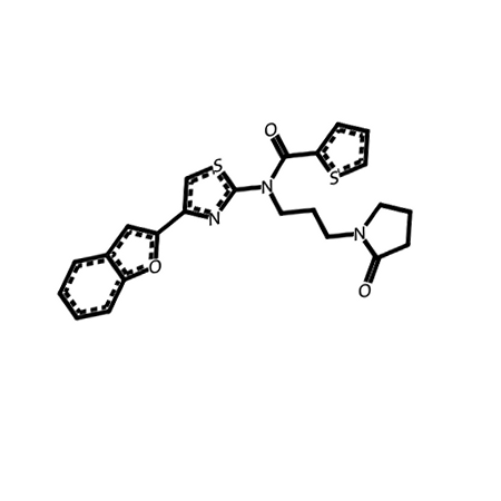 O=C1CCCN1CCCN(C(=O)c1cccs1)c1nc(-c2cc3ccccc3o2)cs1